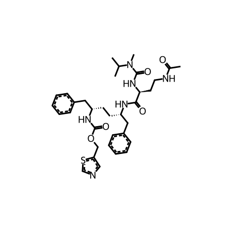 CC(=O)NCC[C@H](NC(=O)N(C)C(C)C)C(=O)N[C@@H](CC[C@@H](Cc1ccccc1)NC(=O)OCc1cncs1)Cc1ccccc1